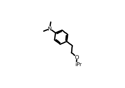 CC(C)OCCc1ccc(N(C)C)cc1